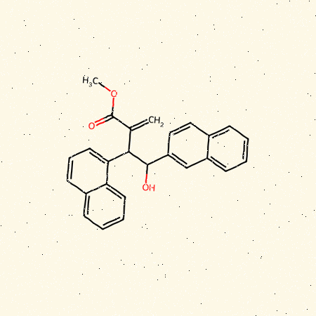 C=C(C(=O)OC)C(c1cccc2ccccc12)C(O)c1ccc2ccccc2c1